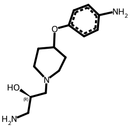 NC[C@@H](O)CN1CCC(Oc2ccc(N)cc2)CC1